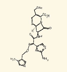 CC(=O)OCC1=C(C(=O)O)N2C(=O)[C@@H](NC(=O)/C(=N/OCc3cncn3C)c3csc(N)n3)[C@H]2SC1